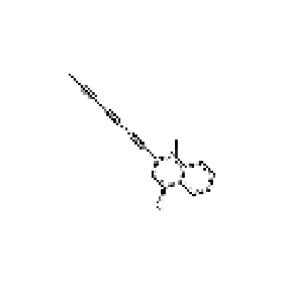 CC#CC#CC#Cc1cc(=O)c2ccccc2[nH]1